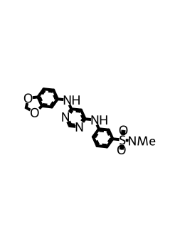 CNS(=O)(=O)c1cccc(Nc2cc(Nc3ccc4c(c3)OCO4)ncn2)c1